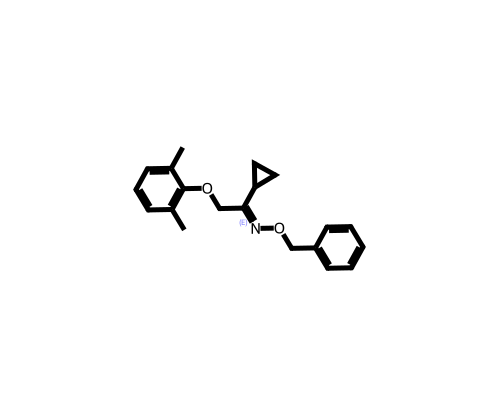 Cc1cccc(C)c1OC/C(=N/OCc1ccccc1)C1CC1